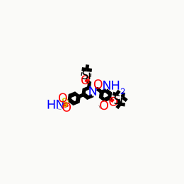 CNS(=O)(=O)c1ccc(C2=CCN(C(=O)c3cc(OC)c(O[Si](C(C)C)(C(C)C)C(C)C)cc3N)C(CO[Si](C)(C)C(C)(C)C)C2)cc1